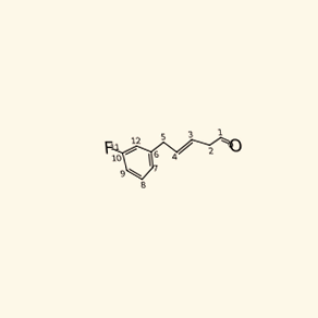 O=CCC=CCc1cccc(F)c1